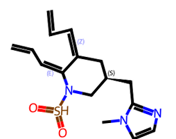 C=C/C=C1/C[C@@H](Cc2nccn2C)CN([SH](=O)=O)/C1=C/C=C